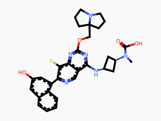 CN(C(=O)O)[C@H]1C[C@@H](Nc2nc(OCC34CCCN3CCC4)nc3c(F)c(-c4cc(O)cc5ccccc45)ncc23)C1